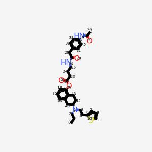 CCCN(CCc1cccs1)[C@H]1CCc2c(cccc2OC(=O)CCCNC(=O)Cc2ccc(NC(C)=O)cc2)C1